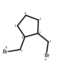 BrCC1CCCC1CBr